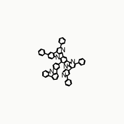 c1ccc(-c2ccc3c(c2)c2cc(-c4ccccc4)nc4c5cc6c7nc(-c8ccccc8)cc8c9cc(-c%10ccccc%10)ncc9n(c6c(-c6ccc9c(c6)c6cccc%10c%11ccccc%11n9c%106)c5n3c24)c87)cc1